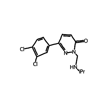 CC(C)NCn1nc(-c2ccc(Cl)c(Cl)c2)ccc1=O